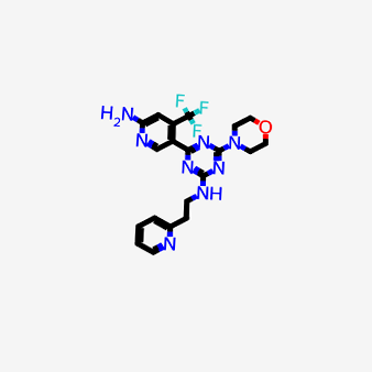 Nc1cc(C(F)(F)F)c(-c2nc(NCCc3ccccn3)nc(N3CCOCC3)n2)cn1